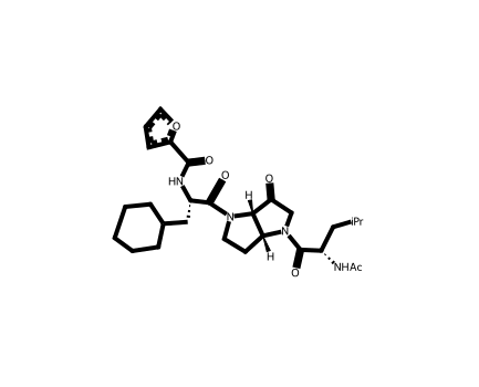 CC(=O)N[C@@H](CC(C)C)C(=O)N1CC(=O)[C@@H]2[C@H]1CCN2C(=O)[C@H](CC1CCCCC1)NC(=O)c1ccco1